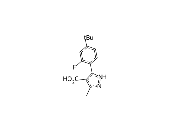 Cc1n[nH]c(-c2ccc(C(C)(C)C)cc2F)c1C(=O)O